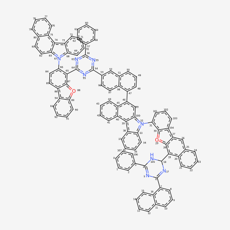 c1ccc(C2=NC(c3cccc4ccccc34)=NC(c3c4ccccc4cc4c3oc3c(-n5c6ccccc6c6c7ccccc7c(-c7cccc8cc(-c9nc(-c%10ccccc%10)nc(-c%10c(-n%11c%12ccccc%12c%12c%13ccccc%13ccc%12%11)ccc%11c%10oc%10ccccc%10%11)n9)ccc78)cc65)cccc34)N2)cc1